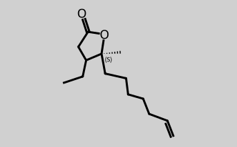 C=CCCCCC[C@]1(C)OC(=O)CC1CC